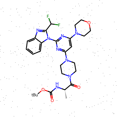 C[C@H](NC(=O)OC(C)(C)C)C(=O)N1CCN(c2cc(N3CCOCC3)nc(-n3c(C(F)F)nc4ccccc43)n2)CC1